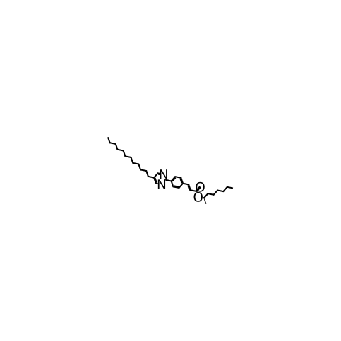 CCCCCCCCCCCCc1cnc(-c2ccc(C=CC(=O)O[C@H](C)CCCCCC)cc2)nc1